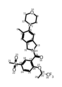 Cc1cc2c(cc1N1CCOCC1)CN(C(=O)c1cc(S(C)(=O)=O)ccc1O[C@@H](C)C(F)(F)F)C2